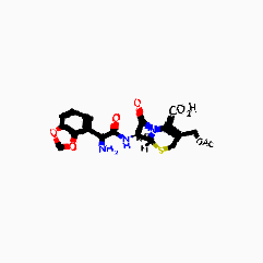 CC(=O)OCC1=C(C(=O)O)N2C(=O)[C@@H](NC(=O)C(N)c3cccc4c3OCO4)[C@H]2SC1